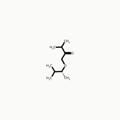 CC(C)C(=O)CO[C@H](C)C(C)C